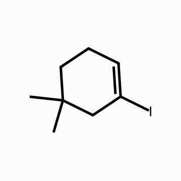 CC1(C)CCC=C(I)C1